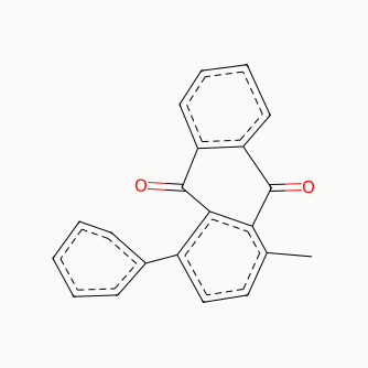 Cc1ccc(-c2ccccc2)c2c1C(=O)c1ccccc1C2=O